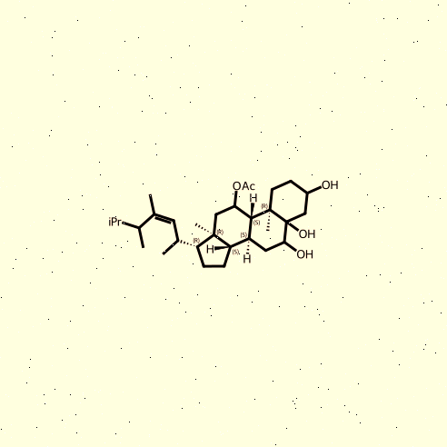 CC(=O)OC1C[C@]2(C)[C@@H](C(C)C=C(C)C(C)C(C)C)CC[C@H]2[C@@H]2CC(O)C3(O)CC(O)CC[C@]3(C)[C@@H]12